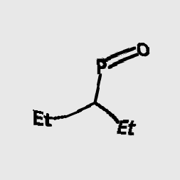 [CH2]CC(CC)P=O